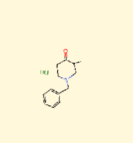 CC1CN(Cc2ccccc2)CCC1=O.Cl